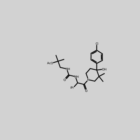 CC(=O)OC(C)(C)CNC(=O)NC(C(=O)N1CCC(O)(c2ccc(Cl)cc2)C(C)(C)C1)C(C)C